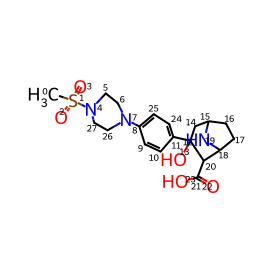 CS(=O)(=O)N1CCN(c2ccc(C3(O)CC4CCC(N4)C3C(=O)O)cc2)CC1